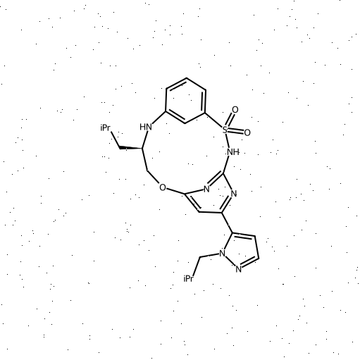 CC(C)C[C@@H]1COc2cc(-c3ccnn3CC(C)C)nc(n2)NS(=O)(=O)c2cccc(c2)N1